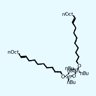 CCCCCCCCC=CCCCCCCCC[O][Sn]([CH2]CCC)([CH2]CCC)[O][Sn]([CH2]CCC)([CH2]CCC)[O]CCCCCCCCC=CCCCCCCCC